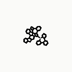 c1ccc2c(c1)Cc1ccc3c(c1-2)-c1ccccc1C31c2ccccc2-c2ccccc2-c2cc(N3c4ccccc4-c4ccccc4-c4ccccc43)ccc21